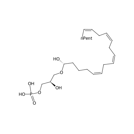 CCCCC/C=C\C/C=C\C/C=C\C/C=C\CCC[C@@H](O)OC[C@@H](O)COP(=O)(O)O